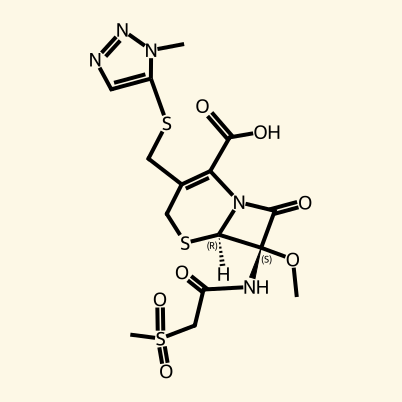 CO[C@@]1(NC(=O)CS(C)(=O)=O)C(=O)N2C(C(=O)O)=C(CSc3cnnn3C)CS[C@@H]21